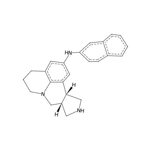 c1ccc2cc(Nc3cc4c5c(c3)[C@@H]3CNC[C@@H]3CN5CCC4)ccc2c1